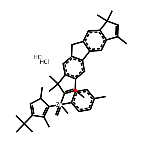 Cl.Cl.[CH2]=[Zr]([CH3])([C]1=C(C)C(C(C)(C)C)=CC1C)([C]1=C(C)c2cc3c(cc2C1(C)C)Cc1cc2c(cc1-3)C(C)=CC2(C)C)[c]1ccc(C)cc1